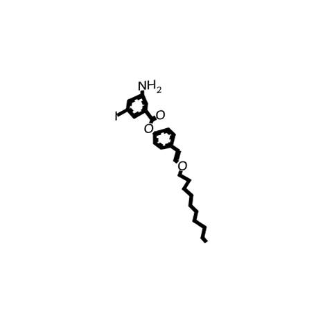 CCCCCCCCCCO/C=C/c1ccc(OC(=O)c2cc(N)cc(I)c2)cc1